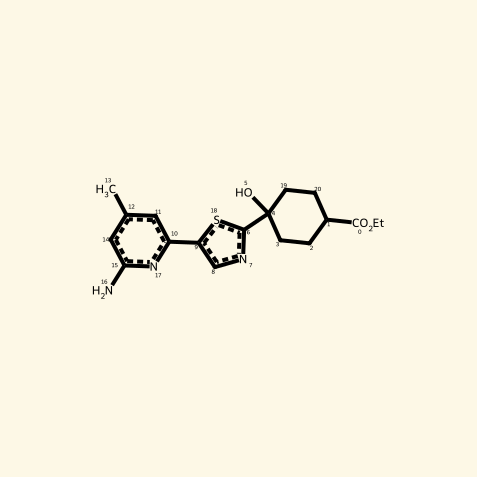 CCOC(=O)C1CCC(O)(c2ncc(-c3cc(C)cc(N)n3)s2)CC1